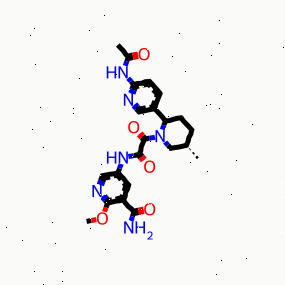 COc1ncc(NC(=O)C(=O)N2C[C@@H](C)CCC2c2ccc(NC(C)=O)nc2)cc1C(N)=O